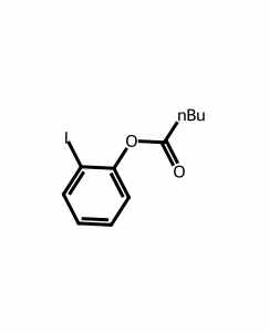 CCCCC(=O)Oc1ccccc1I